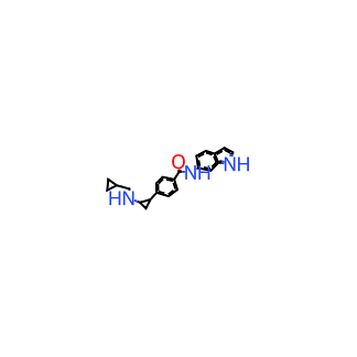 O=C(Nc1ccc2cc[nH]c2c1)c1ccc(C2CC2NCC2CC2)cc1